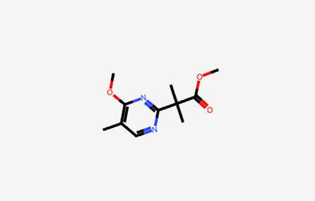 COC(=O)C(C)(C)c1ncc(C)c(OC)n1